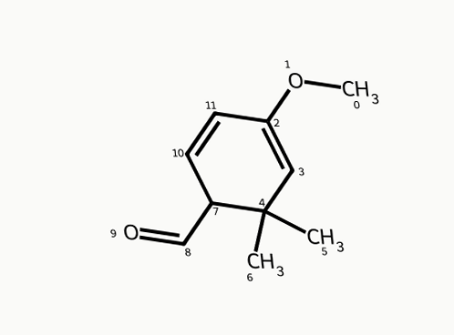 COC1=CC(C)(C)C(C=O)C=C1